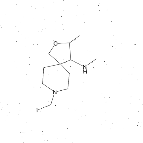 CNC1C(C)OCC12CCN(CI)CC2